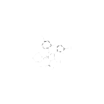 O=C(O)C1C(O)C(c2ccc(Cl)s2)N(c2ccc(Cl)cc2Cl)N1N1CCCCC1